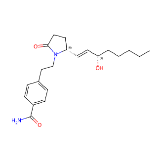 CCCCC[C@H](O)C=C[C@H]1CCC(=O)N1CCc1ccc(C(N)=O)cc1